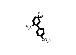 CC1=C=CC(F)(F)C=C1c1ccc(C(=O)O)cc1